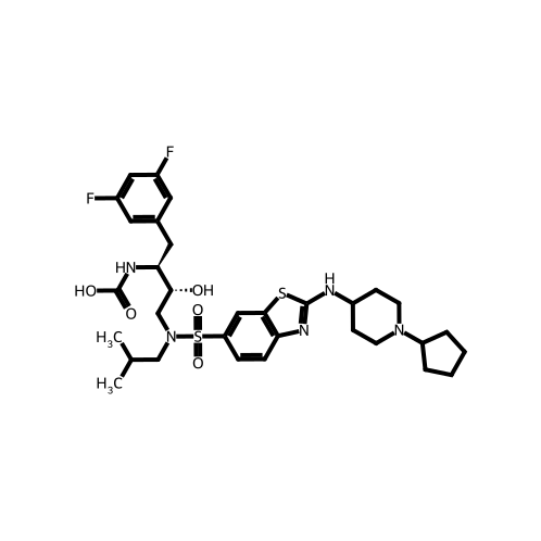 CC(C)CN(C[C@@H](O)[C@H](Cc1cc(F)cc(F)c1)NC(=O)O)S(=O)(=O)c1ccc2nc(NC3CCN(C4CCCC4)CC3)sc2c1